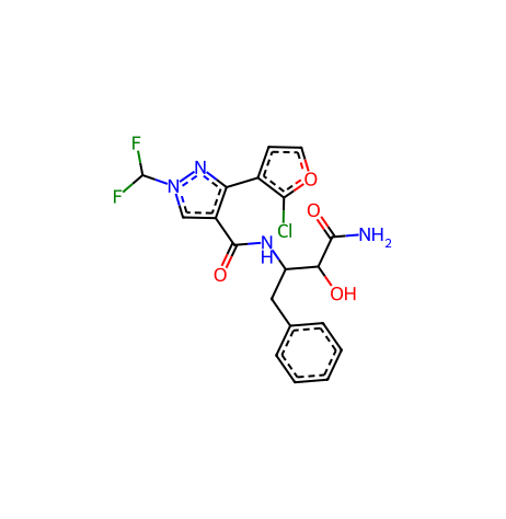 NC(=O)C(O)C(Cc1ccccc1)NC(=O)c1cn(C(F)F)nc1-c1ccoc1Cl